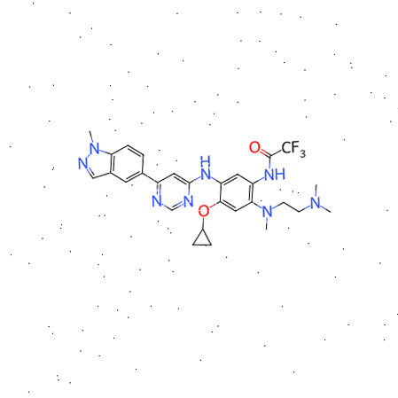 CN(C)CCN(C)c1cc(OC2CC2)c(Nc2cc(-c3ccc4c(cnn4C)c3)ncn2)cc1NC(=O)C(F)(F)F